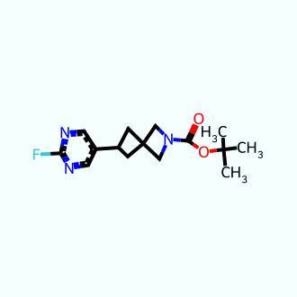 CC(C)(C)OC(=O)N1CC2(CC(c3cnc(F)nc3)C2)C1